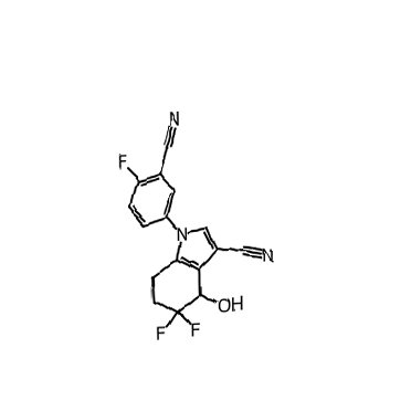 N#Cc1cc(-n2cc(C#N)c3c2CCC(F)(F)C3O)ccc1F